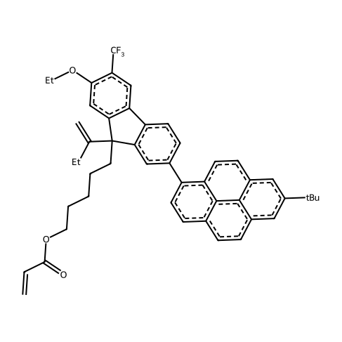 C=CC(=O)OCCCCCC1(C(=C)CC)c2cc(-c3ccc4ccc5cc(C(C)(C)C)cc6ccc3c4c56)ccc2-c2cc(C(F)(F)F)c(OCC)cc21